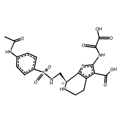 CC(=O)Nc1ccc(S(=O)(=O)NC[C@@H]2NCCc3c2sc(NC(=O)C(=O)O)c3C(=O)O)cc1